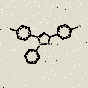 CC(C)c1ccc(C2=CC(c3ccc(C(C)C)cc3)NN2c2ccccc2)cc1